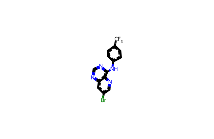 FC(F)(F)c1ccc(Nc2ncnc3cc(Br)cnc23)cc1